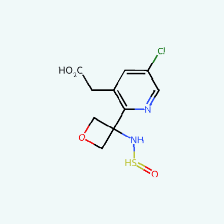 O=[SH]NC1(c2ncc(Cl)cc2CC(=O)O)COC1